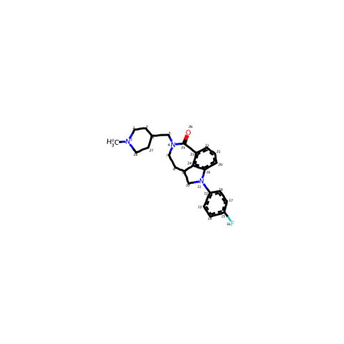 CN1CCC(CN2CCC3CN(c4ccc(F)cc4)c4cccc(c43)C2=O)CC1